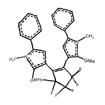 COc1c(C2=C(c3cc(-c4ccccc4)n(C)c3OC)C(F)(F)C(F)(F)C2(F)F)cc(-c2ccccc2)n1C